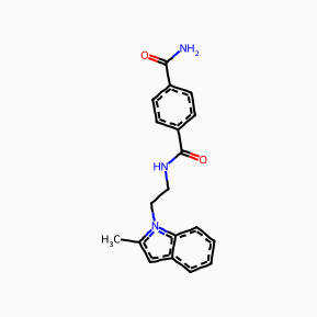 Cc1cc2ccccc2n1CCNC(=O)c1ccc(C(N)=O)cc1